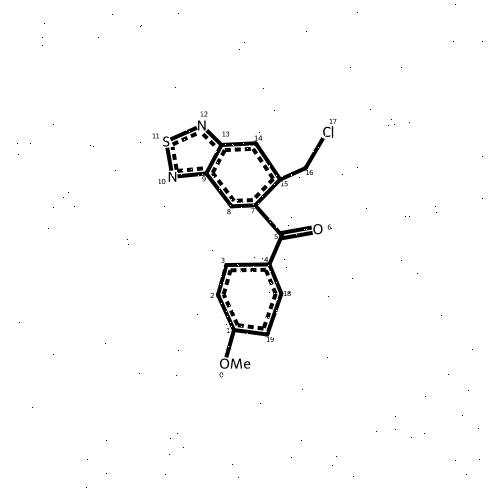 COc1ccc(C(=O)c2cc3nsnc3cc2CCl)cc1